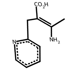 CC(N)=C(Cc1ccccn1)C(=O)O